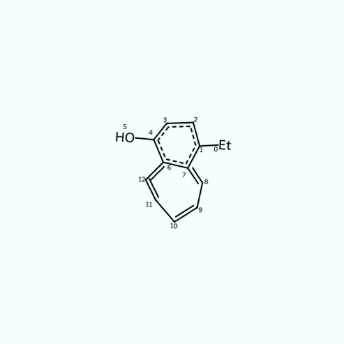 CCc1ccc(O)c2c1=CC=CC=C=2